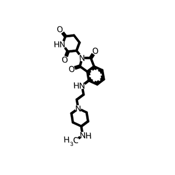 CNC1CCN(CCNc2cccc3c2C(=O)N(C2CCC(=O)NC2=O)C3=O)CC1